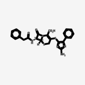 Nc1nc(-c2ccccc2)c(SC2=C(C(=O)O)N3C(=O)[C@@H](NC(=O)Cc4ccccc4)[C@H]3SC2)s1